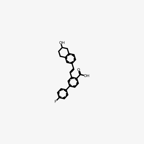 O=C(O)c1ccc(-c2ccc(F)cc2)cc1C=Cc1ccc2c(c1)CCC(O)C2